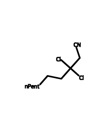 CCCCCCCC(Cl)(Cl)CC#N